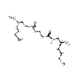 CC(CCCO)COC(=O)CCCC(=O)OCC(C)CCCO